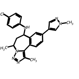 Cc1nnn2c1-c1ccc(-c3cnn(C)c3)cc1C(Nc1ccc(Cl)cc1)CC2C